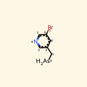 [AsH2]Cc1cncc(Br)c1